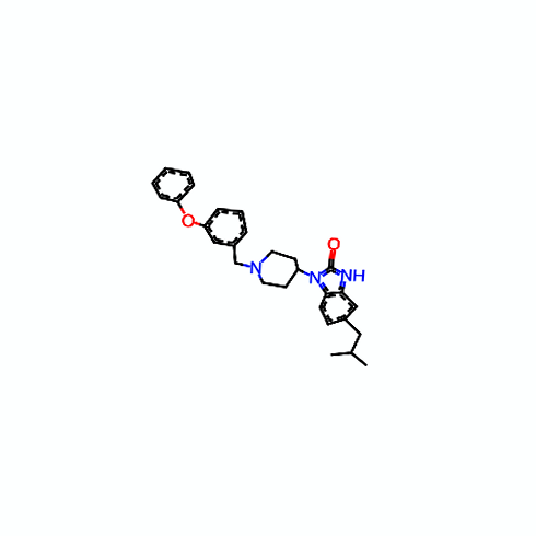 CC(C)Cc1ccc2c(c1)[nH]c(=O)n2C1CCN(Cc2cccc(Oc3ccccc3)c2)CC1